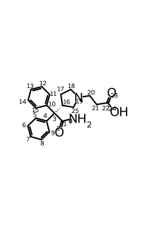 NC(=O)C(c1ccccc1)(c1ccccc1)[C@@H]1CCN(CCC(=O)O)C1